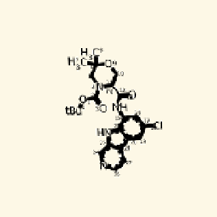 CC(C)(C)OC(=O)N1CC(C)(C)OC[C@H]1C(=O)Nc1cc(Cl)cc2c1[nH]c1cnccc12